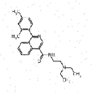 CCN(CC)CCNC(=O)c1cnc(-c2ccc(C)cc2C)c2ccccc12